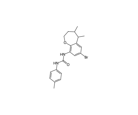 Cc1ccc(NC(=O)Nc2cc(Br)cc3c2OCCC(C)C3C)cc1